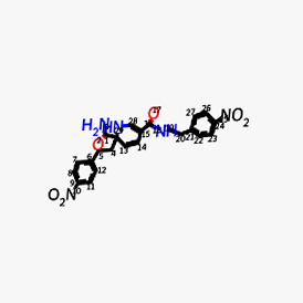 NC(=O)C1(CCc2ccc([N+](=O)[O-])cc2)C=CC(C(=O)NCCc2ccc([N+](=O)[O-])cc2)=CN1